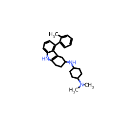 Cc1ccccc1-c1cccc2[nH]c3c(c12)CC(NC1CCC(N(C)C)CC1)CC3